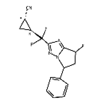 N#C[C@H]1C[C@@H]1C(F)(F)c1nc2n(n1)C(c1ccccc1)CC2F